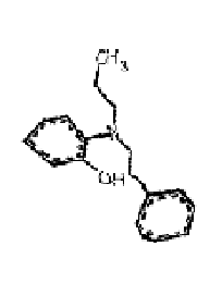 CCCN(CCc1ccccc1)c1ccccc1O